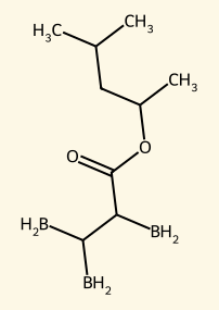 BC(B)C(B)C(=O)OC(C)CC(C)C